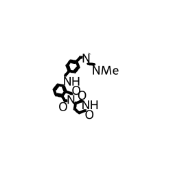 CNCCN(C)Cc1ccc(CNc2cccc3c2C(=O)N(C2CCC(=O)NC2=O)C3=O)cc1